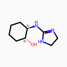 O[C@@H]1CCCC[C@H]1NC1=NCCN1